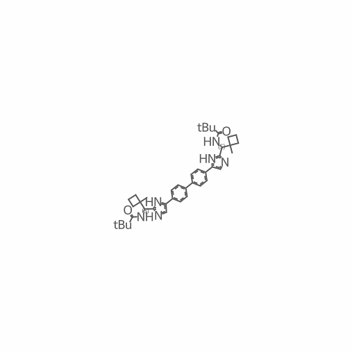 CC(C)(C)C(=O)N[C@H](c1ncc(-c2ccc(-c3ccc(-c4cnc([C@@H](NC(=O)C(C)(C)C)C5(C)CCC5)[nH]4)cc3)cc2)[nH]1)C1(C)CCC1